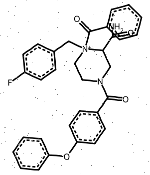 NC(=O)C1CN(C(=O)c2ccc(Oc3ccccc3)cc2)CC[N+]1(Cc1ccc(F)cc1)C(=O)c1ccccc1